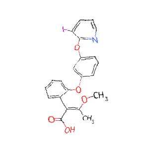 CO/C(C)=C(/C(=O)O)c1ccccc1Oc1cccc(Oc2ncccc2I)c1